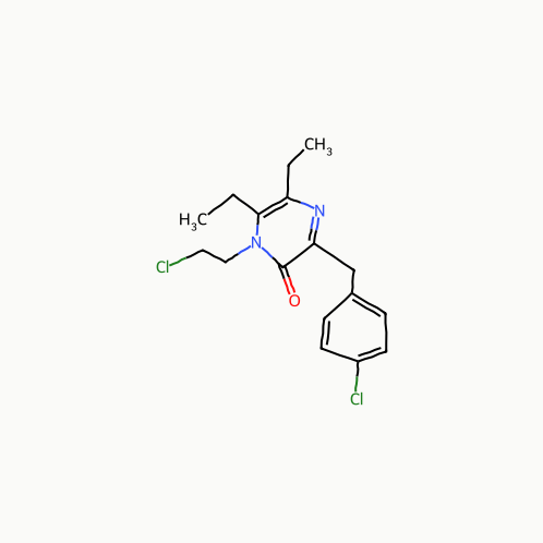 CCc1nc(Cc2ccc(Cl)cc2)c(=O)n(CCCl)c1CC